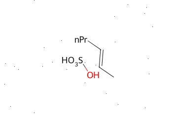 CC=CCCC.O=S(=O)(O)O